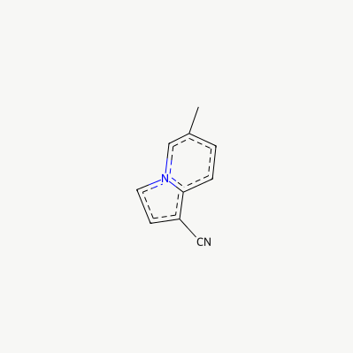 Cc1ccc2c(C#N)ccn2c1